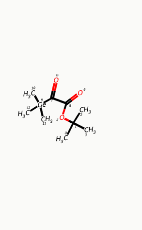 CC(C)(C)OC(=O)[C](=O)[Ge]([CH3])([CH3])[CH3]